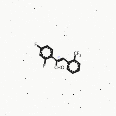 O=C/C(=C\c1ccccc1C(F)(F)F)c1ccc(F)cc1F